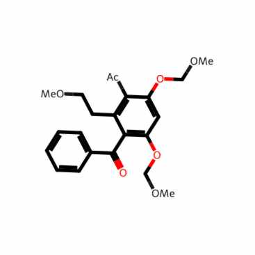 COCCc1c(C(C)=O)c(OCOC)cc(OCOC)c1C(=O)c1ccccc1